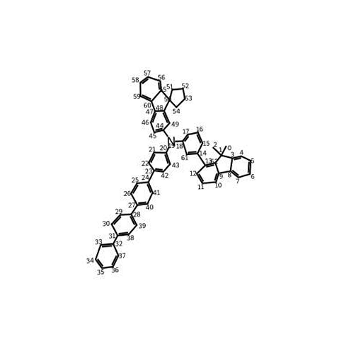 CC1(C)c2ccccc2-c2cccc(-c3cccc(N(c4ccc(-c5ccc(-c6ccc(-c7ccccc7)cc6)cc5)cc4)c4ccc5c(c4)C4(CCCC4)c4ccccc4-5)c3)c21